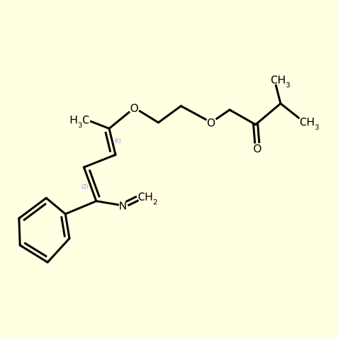 C=N/C(=C\C=C(/C)OCCOCC(=O)C(C)C)c1ccccc1